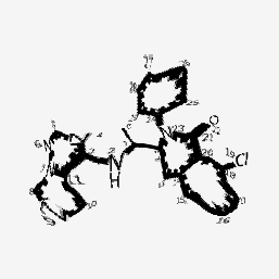 C[C@H](Nc1ncnn2cncc12)c1cc2cccc(Cl)c2c(=O)n1-c1ccccc1